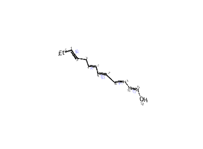 CC/C=C/C/C=C/C=C/C=N/N=N/O